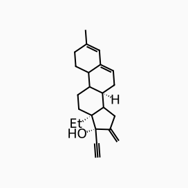 C#C[C@]1(O)C(=C)CC2[C@@H]3CC=C4C=C(C)CCC4C3CC[C@@]21CC